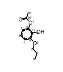 CCCOc1cccc(OC(C)=O)c1O